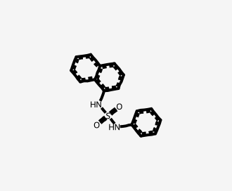 O=S(=O)(Nc1ccccc1)Nc1cccc2ccccc12